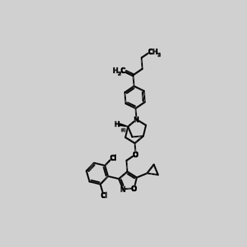 C=C(CCC)c1ccc(N2CC3C[C@@H]2CC3OCc2c(-c3c(Cl)cccc3Cl)noc2C2CC2)cc1